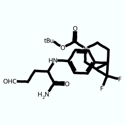 CC(C)(C)OC(=O)N1CCC2(c3ccc(NC(CCC=O)C(N)=O)cc3)C(C1)C2(F)F